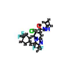 CC(F)(F)c1nc2cc(C(=O)NC3=CC=C3)c(Cl)cn2c1CC1CCC(F)(F)CC1